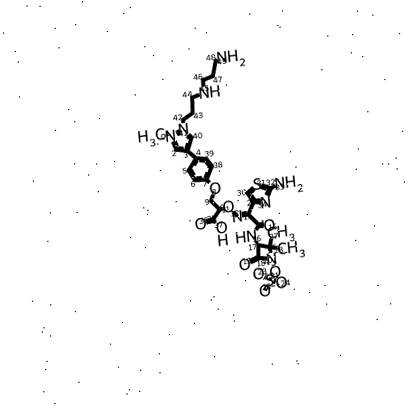 C[n+]1cc(-c2ccc(OCC(O/N=C(/C(=O)N[C@@H]3C(=O)N(OS(=O)(=O)[O-])C3(C)C)c3csc(N)n3)C(=O)O)cc2)cn1CCCNCCCN